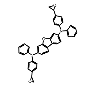 c1ccc(N(c2ccc(C3CO3)cc2)c2ccc3c(c2)oc2cc(N(c4ccccc4)c4ccc(C5CO5)cc4)ccc23)cc1